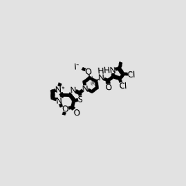 COC(=O)c1sc(N2CC[C@@H](NC(=O)c3[nH]c(C)c(Cl)c3Cl)[C@@H](OC)C2)nc1-c1n(C)cc[n+]1C.[I-]